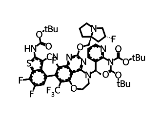 C[C@H](c1cccnc1N(C(=O)OC(C)(C)C)C(=O)OC(C)(C)C)N1CCOc2c(C(F)(F)F)c(-c3cc(F)c(F)c4sc(NC(=O)OC(C)(C)C)c(C#N)c34)c(F)c3nc(OC[C@@]45CCCN4C[C@H](F)C5)nc1c23